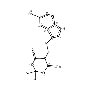 CC1(C)OC(=O)C(CCc2c[nH]c3ccc(Br)cc23)C(=O)O1